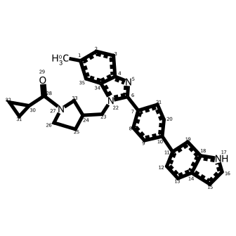 Cc1ccc2nc(-c3ccc(-c4ccc5cc[nH]c5c4)cc3)n(CC3CCN(C(=O)C4CC4)C3)c2c1